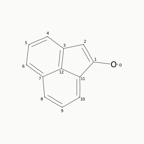 [O]C1=Cc2cccc3cccc1c23